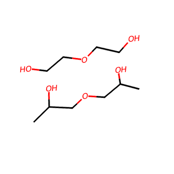 CC(O)COCC(C)O.OCCOCCO